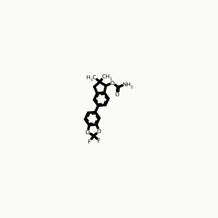 CC1(C)Cc2cc(-c3ccc4c(c3)OC(F)(F)O4)ccc2C1OC(N)=O